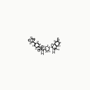 C[C@@H](NC(=O)[C@H]1CC[C@H](NS(=O)(=O)c2ccc(-c3cocn3)cc2)CC1)c1ccc(F)cc1